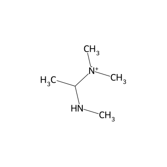 CNC(C)[N+](C)C